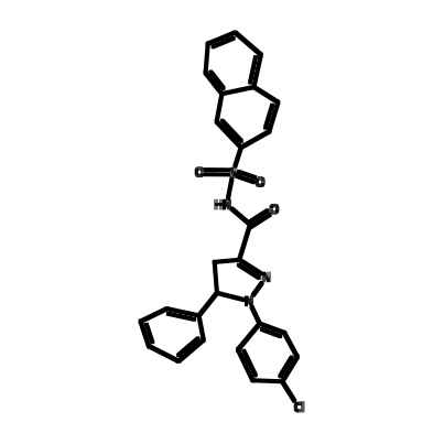 O=C(NS(=O)(=O)c1ccc2ccccc2c1)C1=NN(c2ccc(Cl)cc2)C(c2ccccc2)C1